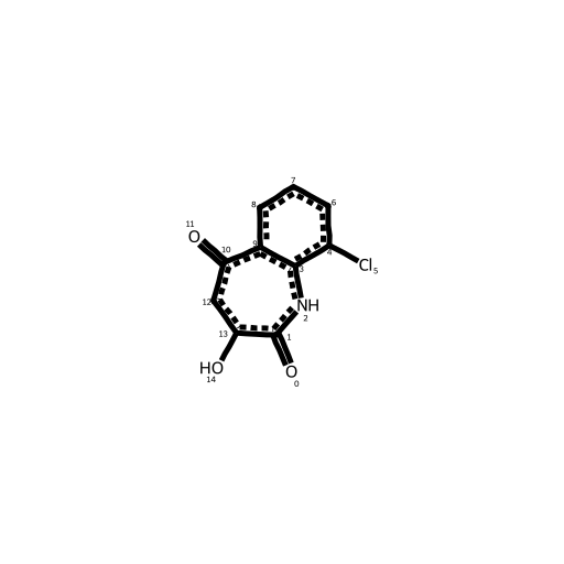 O=c1[nH]c2c(Cl)cccc2c(=O)cc1O